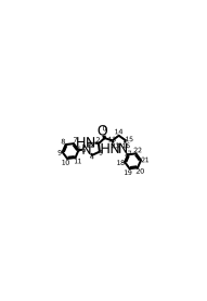 O=C(C1CCN(c2ccccc2)N1)C1CCN(c2ccccc2)N1